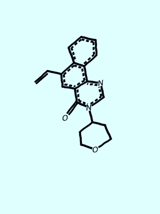 C=Cc1cc2c(=O)n(C3CCOCC3)cnc2c2ccccc12